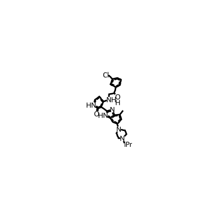 Cc1cc(N2CCN(C(C)C)CC2)cc2[nH]c(-c3c(NCC(O)c4cccc(Cl)c4)cc[nH]c3=O)nc12